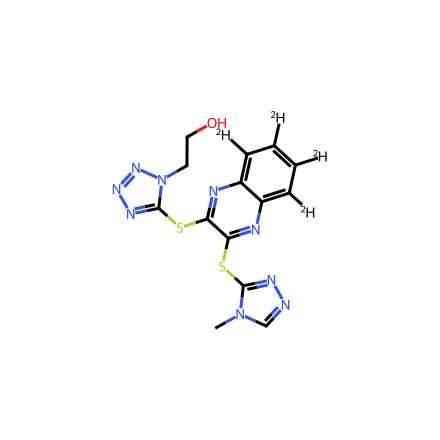 [2H]c1c([2H])c([2H])c2nc(Sc3nnnn3CCO)c(Sc3nncn3C)nc2c1[2H]